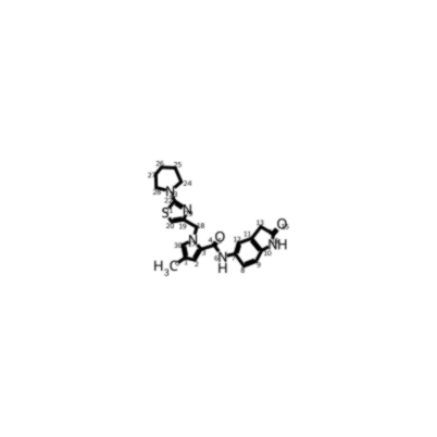 Cc1cc(C(=O)Nc2ccc3c(c2)CC(=O)N3)n(Cc2csc(N3CCCCC3)n2)c1